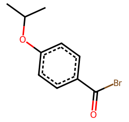 CC(C)Oc1ccc(C(=O)Br)cc1